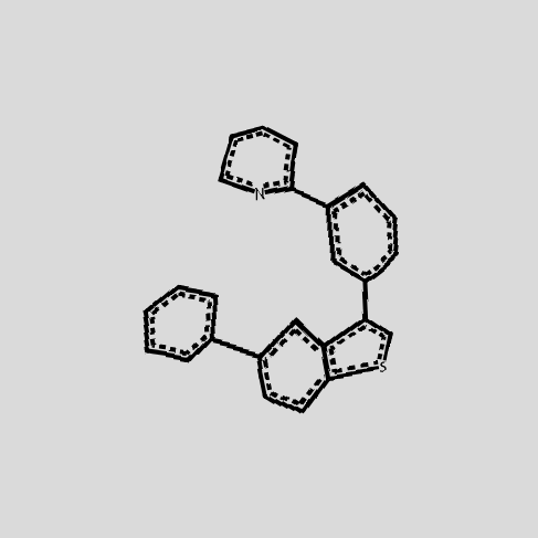 c1ccc(-c2ccc3scc(-c4cccc(-c5ccccn5)c4)c3c2)cc1